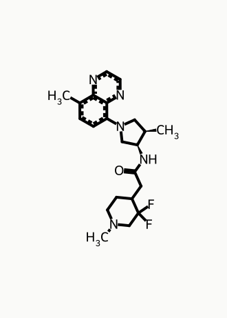 Cc1ccc(N2C[C@@H](C)[C@@H](NC(=O)CC3CCN(C)CC3(F)F)C2)c2nccnc12